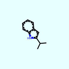 CC(C)c1[c]c2ccccc2[nH]1